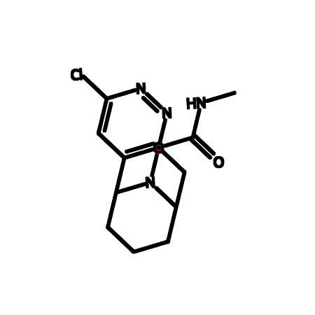 CNC(=O)ON1C2CCCC1c1cc(Cl)nnc1C2